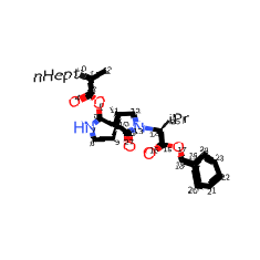 CCCCCCCC(C)C(=O)OC1NCC[C@]12CCN([C@H](C(=O)OCc1ccccc1)C(C)C)C2=O